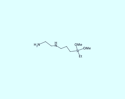 CC[Si](CCCNCCN)(OC)OC